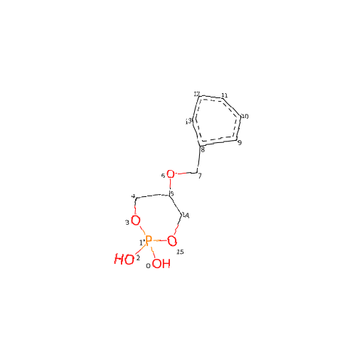 O[P]1(O)OCC(OCc2ccccc2)CO1